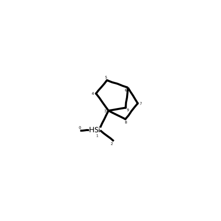 C[SiH](C)C12CCC(CC1)C2